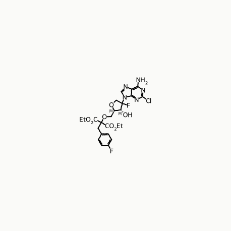 CCOC(=O)C(Cc1ccc(F)cc1)(OC[C@H]1OCC(F)(n2cnc3c(N)nc(Cl)nc32)[C@@H]1O)C(=O)OCC